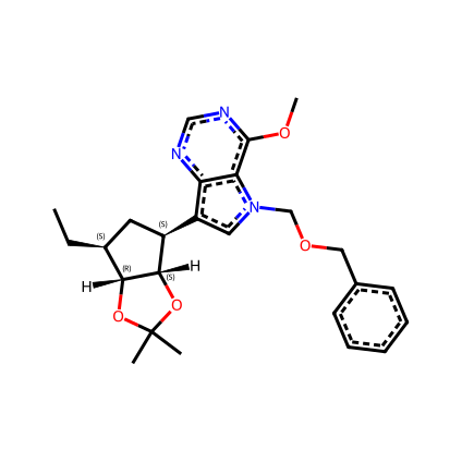 CC[C@H]1C[C@@H](c2cn(COCc3ccccc3)c3c(OC)ncnc23)[C@@H]2OC(C)(C)O[C@H]12